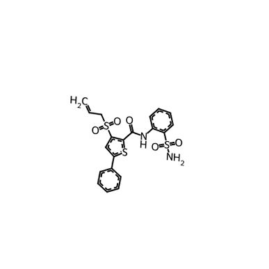 C=CCS(=O)(=O)c1cc(-c2ccccc2)sc1C(=O)Nc1ccccc1S(N)(=O)=O